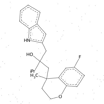 CC(C)C(O)(Cc1cc2ccccc2[nH]1)CC1(C)CCOc2ccc(F)cc21